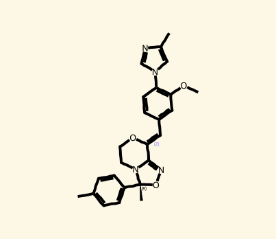 COc1cc(/C=C2\OCCN3C2=NO[C@]3(C)c2ccc(C)cc2)ccc1-n1cnc(C)c1